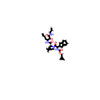 C=CCCC(NC(=O)[C@@H]1C2C(CN1C(=O)[C@@H](NC(=O)OCC1CC1)C1Cc3ccccc3C1)C2(C)C)C(=O)C(=O)NCC=C